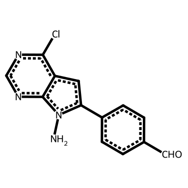 Nn1c(-c2ccc(C=O)cc2)cc2c(Cl)ncnc21